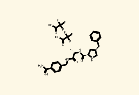 C[C@H](NC(=O)[C@H]1C[C@@H](Cc2ccccc2)CN1)C(=O)NCc1ccc(C(=N)N)cc1.O=C(O)C(F)(F)F.O=C(O)C(F)(F)F